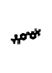 CN(C)C(=O)Nc1ccc(Oc2cccc(C(F)(F)F)n2)cc1